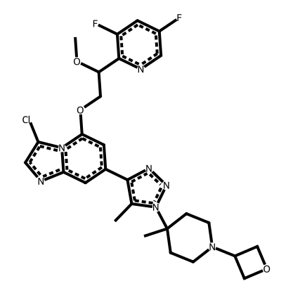 COC(COc1cc(-c2nnn(C3(C)CCN(C4COC4)CC3)c2C)cc2ncc(Cl)n12)c1ncc(F)cc1F